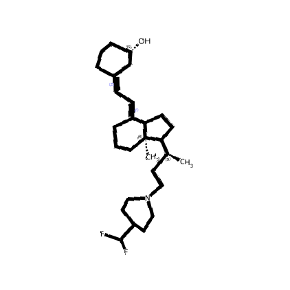 C[C@@H](CCN1CCC(C(F)F)CC1)C1CCC2/C(=C/C=C3/CCC[C@H](O)C3)CCC[C@@]21C